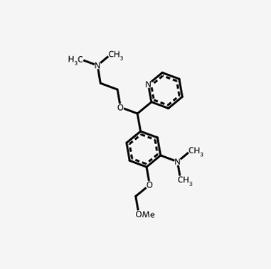 COCOc1ccc(C(OCCN(C)C)c2ccccn2)cc1N(C)C